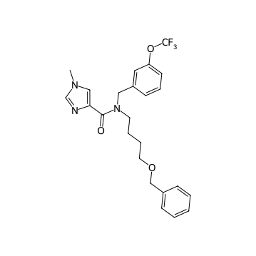 Cn1cnc(C(=O)N(CCCCOCc2ccccc2)Cc2cccc(OC(F)(F)F)c2)c1